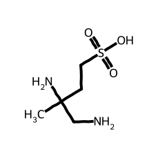 CC(N)(CN)CCS(=O)(=O)O